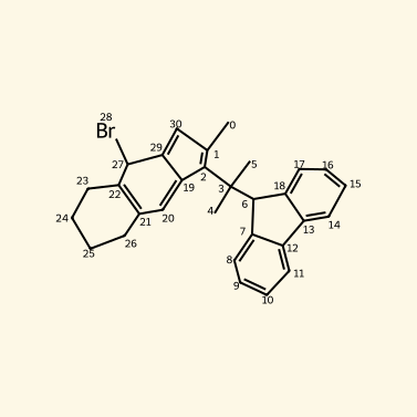 CC1=C(C(C)(C)C2c3ccccc3-c3ccccc32)C2=CC3=C(CCCC3)C(Br)C2=C1